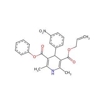 C=CCOC(=O)C1=C(C)NC(C)=C(C(=O)Oc2ccccc2)C1c1cccc([N+](=O)[O-])c1